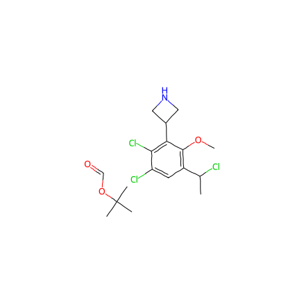 CC(C)(C)OC=O.COc1c(C(C)Cl)cc(Cl)c(Cl)c1C1CNC1